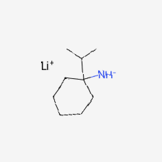 CC(C)C1([NH-])CCCCC1.[Li+]